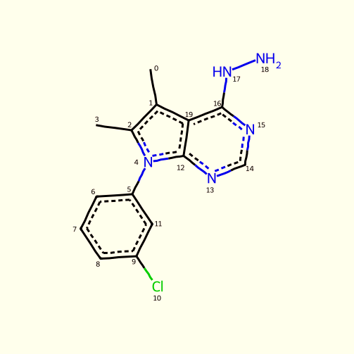 Cc1c(C)n(-c2cccc(Cl)c2)c2ncnc(NN)c12